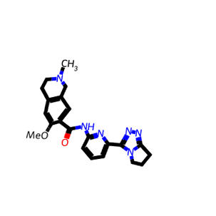 COc1cc2c(cc1C(=O)Nc1cccc(-c3nnc4n3CCC4)n1)CN(C)CC2